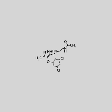 CC(=O)NCCNCc1[nH]nc(C)c1Oc1cc(Cl)cc(Cl)c1